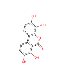 O=c1oc2c(O)c(O)ccc2c2ccc(O)c(O)c12